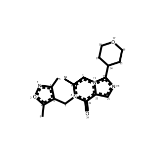 Cc1noc(C)c1Cn1c(C)cn2c(C3CCOCC3)ncc2c1=O